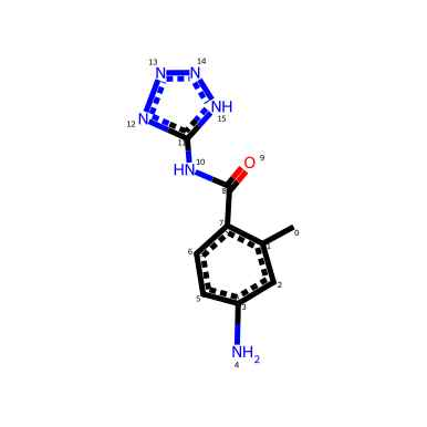 Cc1cc(N)ccc1C(=O)Nc1nnn[nH]1